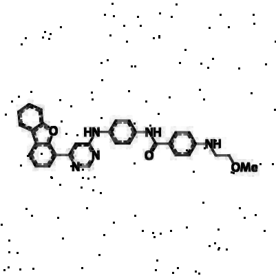 COCCNc1ccc(C(=O)Nc2ccc(Nc3cc(-c4cccc5c4oc4ccccc45)ncn3)cc2)cc1